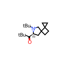 CC(C)(C)C(=O)[C@@H]1CC2(CCC23CC3)CN1C(C)(C)C